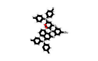 Cc1ccc(N(c2ccc(C)cc2)c2cc3c(c4ccccc24)B2c4c(cc(C(C)(C)C)cc4Oc4cc(N(c5ccc(C)cc5)c5ccc(C)cc5)c5ccccc5c42)O3)cc1